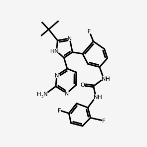 CC(C)(C)c1nc(-c2cc(NC(=O)Nc3cc(F)ccc3F)ccc2F)c(-c2ccnc(N)n2)[nH]1